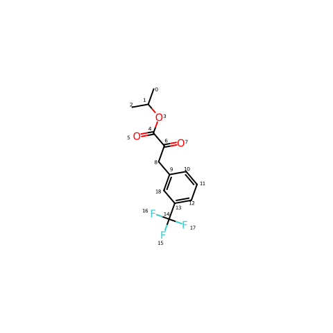 CC(C)OC(=O)C(=O)Cc1cccc(C(F)(F)F)c1